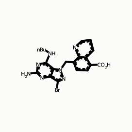 CCCCNc1nc(N)nc2c(Br)nn(Cc3ccc(C(=O)O)c4cccnc34)c12